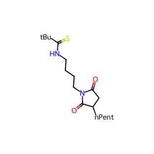 CCCCCC1CC(=O)N(CCCCNC(=S)C(C)(C)C)C1=O